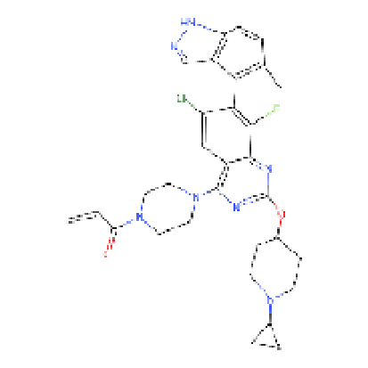 C=CC(=O)N1CCN(c2nc(OC3CCN(C4CC4)CC3)nc3c(F)c(-c4c(C)ccc5[nH]ncc45)c(Cl)cc23)CC1